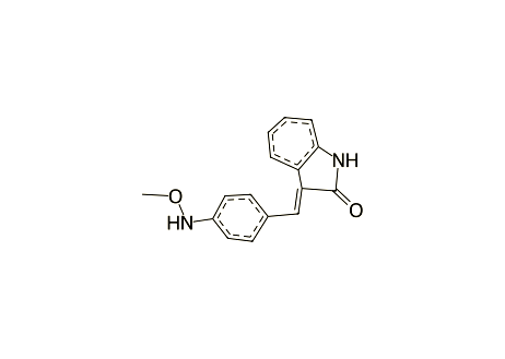 CONc1ccc(/C=C2/C(=O)Nc3ccccc32)cc1